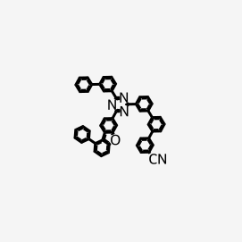 N#Cc1cccc(-c2cccc(-c3cccc(-c4nc(-c5cccc(-c6ccccc6)c5)nc(-c5ccc6c(c5)oc5cccc(-c7ccccc7)c56)n4)c3)c2)c1